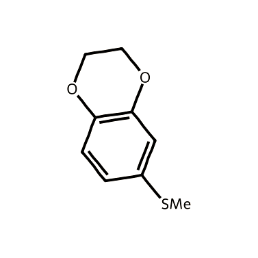 CSc1ccc2c(c1)OCCO2